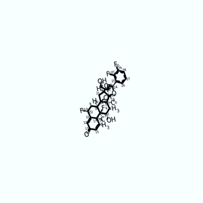 C[C@]12C[C@H](O)[C@@]3(F)[C@@H](C[C@H](F)C4=CC(=O)C=C[C@@]43C)[C@]1(C)C[C@H]1O[C@@H](c3cccc(F)c3F)O[C@]12C(=O)CO